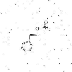 O=[PH2]OC=Cc1ccccc1